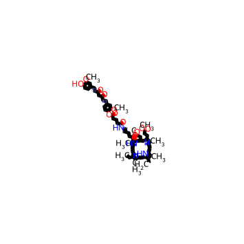 C=Cc1c(C)c2cc3nc(c(CC(=O)OC)c4[nH]c(cc5nc(cc1[nH]2)C(C)=C5CC)c(C)c4C(=O)CCCCNC(=O)CCCC(=O)Oc1ccc(/C=C/C(=O)CC(=O)/C=C/c2ccc(O)c(OC)c2)cc1OC)C(CCC(=O)OC)C3C